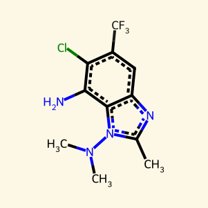 Cc1nc2cc(C(F)(F)F)c(Cl)c(N)c2n1N(C)C